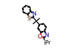 CC(C)c1nc2ccc(C(C)(C)c3nc4ccccc4s3)cc2o1